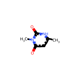 Cc1cc(=O)n(C)c(=O)[nH]1